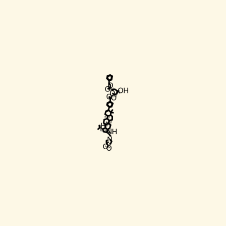 C=C(C)[C@@H]1CC[C@]2(NCCN3CCS(=O)(=O)CC3)CC[C@]3(C)[C@H](CCC4[C@@]5(C)CC=C(c6ccc(C(=O)O[C@H]7C[C@@H](O)C[C@@H](C(=O)OCc8ccccc8)O7)cc6)C(C)(C)C5CC[C@]43C)C12